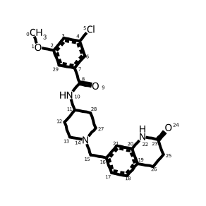 COc1cc(Cl)cc(C(=O)NC2CCN(Cc3ccc4c(c3)NC(=O)CC4)CC2)c1